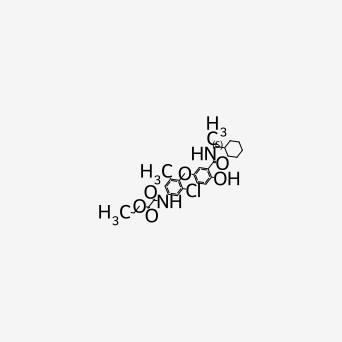 CCOC(=O)C(=O)Nc1cc(C)c(Oc2ccc(O)c(C(=O)N[C@@H](C)C3CCCCC3)c2)c(Cl)c1